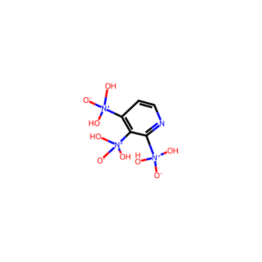 [O-][N+](O)(O)c1ccnc([N+]([O-])(O)O)c1[N+]([O-])(O)O